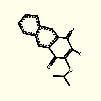 CC(C)OC1=C(Cl)C(=O)c2cc3ccccc3cc2C1=O